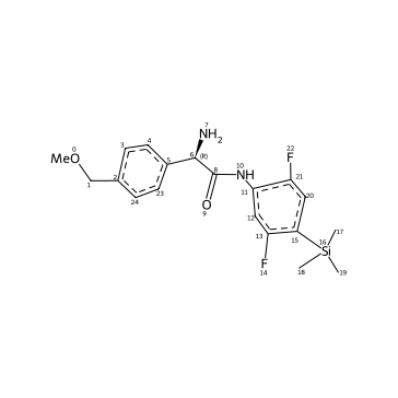 COCc1ccc([C@@H](N)C(=O)Nc2cc(F)c([Si](C)(C)C)cc2F)cc1